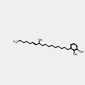 CCCCCC=CC(O)CCCCCCCCCc1cccc(O)c1O